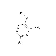 Cc1cc(C#N)ccc1OC(C)C